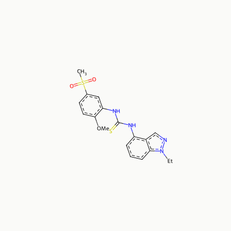 CCn1ncc2c(NC(=S)Nc3cc(S(C)(=O)=O)ccc3OC)cccc21